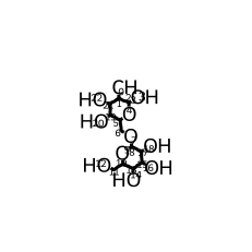 CC1C(O)OC(COC2OC(CO)C(O)C(O)C2O)C(O)C1O